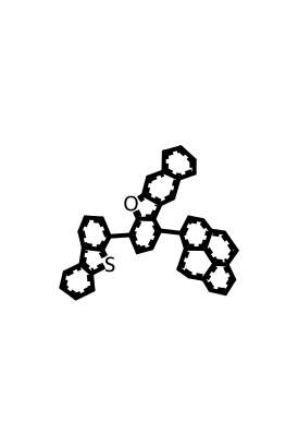 c1ccc2cc3c(cc2c1)oc1c(-c2cccc4c2sc2ccccc24)ccc(-c2ccc4ccc5cccc6ccc2c4c56)c13